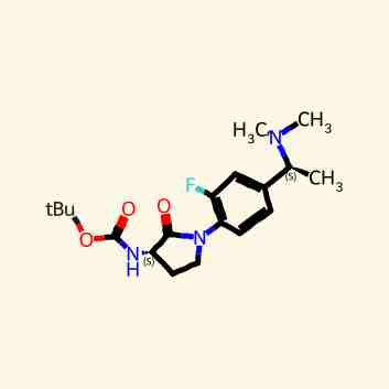 C[C@@H](c1ccc(N2CC[C@H](NC(=O)OC(C)(C)C)C2=O)c(F)c1)N(C)C